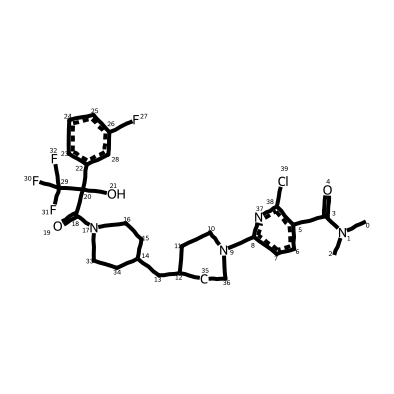 CN(C)C(=O)c1ccc(N2CCC(CC3CCN(C(=O)C(O)(c4cccc(F)c4)C(F)(F)F)CC3)CC2)nc1Cl